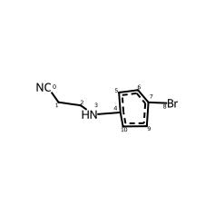 N#CCCNc1ccc(Br)cc1